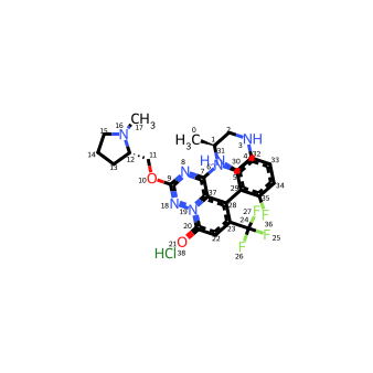 C[C@H]1CNCCN1c1nc(OC[C@@H]2CCCN2C)nn2c(=O)cc(C(F)(F)F)c(-c3c(N)cccc3F)c12.Cl